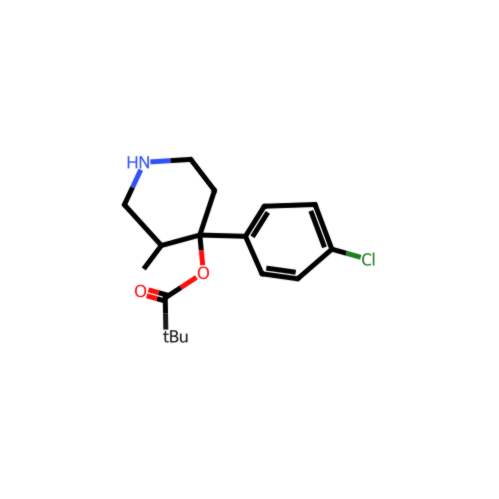 CC1CNCCC1(OC(=O)C(C)(C)C)c1ccc(Cl)cc1